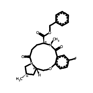 C[C@H]1C[C@H]2COc3ccc(F)cc3C(=O)N(C)[C@H](C(=O)OCc3ccccc3)CCC(=O)N2C1